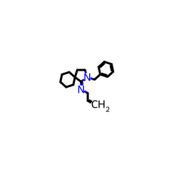 C=CC/N=C1\N(Cc2ccccc2)CCC12CCCCC2